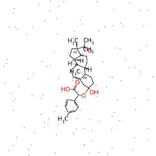 CC(=O)[C@@]1(C)CC[C@H]2[C@@H]3CC=C4CC(O)(OC(C(=O)O)c5ccc(C)cc5)CC[C@]4(C)[C@H]3CC[C@@]21C